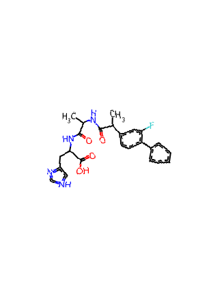 CC(NC(=O)C(C)c1ccc(-c2ccccc2)c(F)c1)C(=O)NC(Cc1c[nH]cn1)C(=O)O